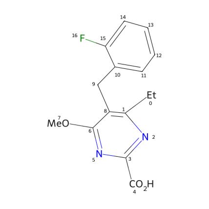 CCc1nc(C(=O)O)nc(OC)c1Cc1ccccc1F